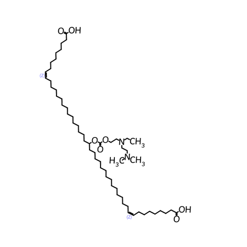 CCN(CCOC(=O)OC(CCCCCCCCCCCCCC/C=C\CCCCCCCC(=O)O)CCCCCCCCCCCCCC/C=C\CCCCCCCC(=O)O)CCN(C)C